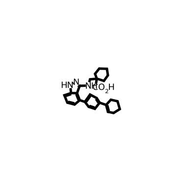 O=C(O)C1(CNc2n[nH]c3cccc(-c4ccc(C5=CCCCC5)cc4)c23)CCCCC1